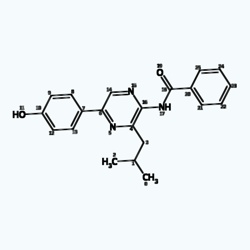 CC(C)Cc1nc(-c2ccc(O)cc2)cnc1NC(=O)c1ccccc1